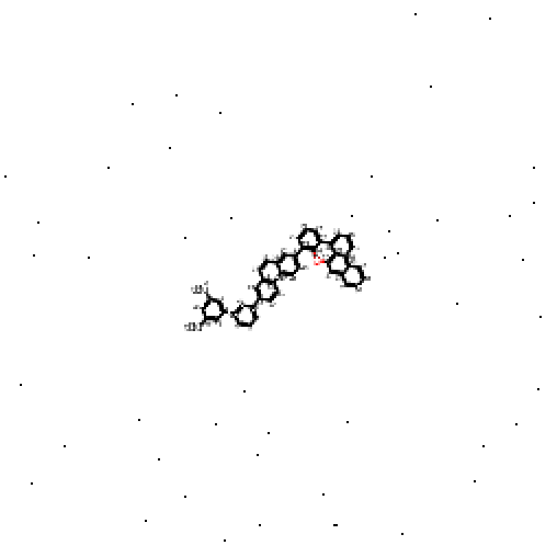 CC(C)(C)c1cc(-c2cccc(-c3ccc4c(ccc5cc(-c6cccc7c6Oc6cc8ccccc8c8cccc-7c68)ccc54)c3)c2)cc(C(C)(C)C)c1